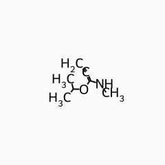 C=C=C(NC)OC(C)C